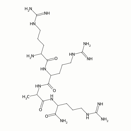 CC(NC(=O)C(CCCNC(=N)N)NC(=O)C(N)CCCNC(=N)N)C(=O)NC(CCCNC(=N)N)C(N)=O